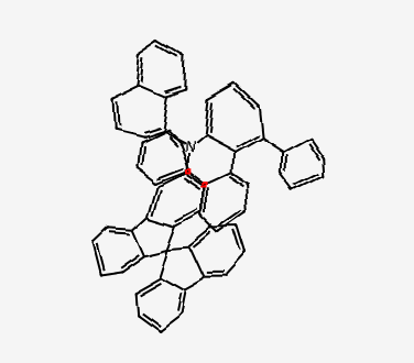 c1ccc(-c2ccccc2-c2c(-c3ccccc3)cccc2N(c2ccc3c(c2)-c2ccccc2C32c3ccccc3-c3ccccc32)c2cccc3ccccc23)cc1